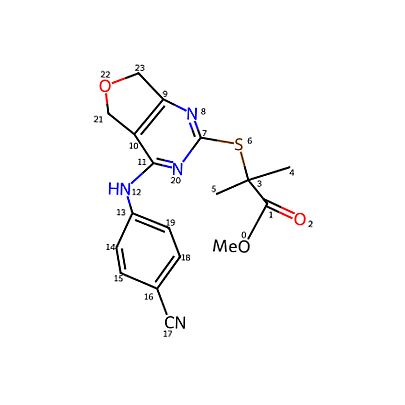 COC(=O)C(C)(C)Sc1nc2c(c(Nc3ccc(C#N)cc3)n1)COC2